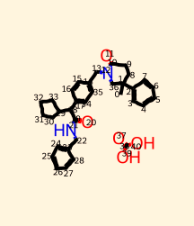 CC1(c2ccccc2)CCC(=O)N(Cc2ccc(C(C(=O)NCc3ccccc3)C3CCCC3)cc2)C1.O=C(O)O